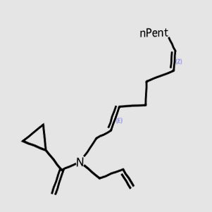 C=CCN(C/C=C/CC/C=C\CCCCC)C(=C)C1CC1